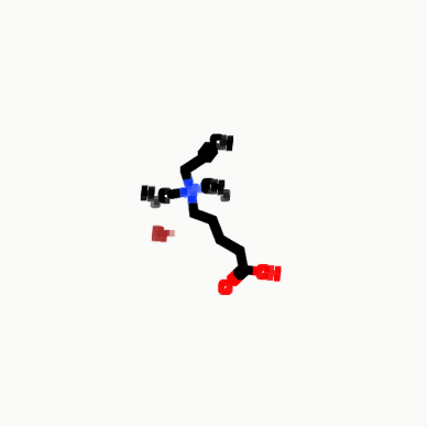 C#CC[N+](C)(C)CCCCC(=O)O.[Br-]